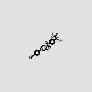 CC1CN(c2ccc(C#N)cc2)CCN1S(=O)(=O)c1ccc([C@@](C)(O)C(F)(F)F)cc1